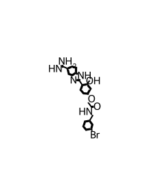 N=C(N)c1ccc2[nH]c(-c3ccc(OCC(=O)NCc4cccc(Br)c4)cc3O)nc2c1